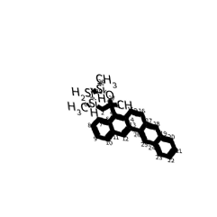 C[SiH]1CC(C)(c2c3ccccc3cc3c2ccc2cc4ccccc4cc23)O[SiH](C)[SiH2]1